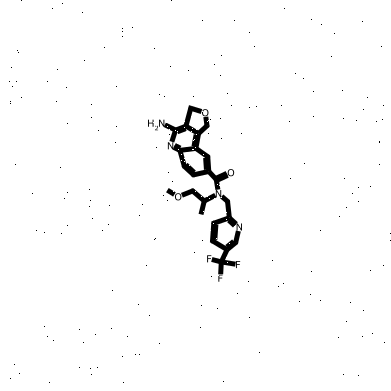 COCC(C)N(Cc1ccc(C(F)(F)F)cn1)C(=O)c1ccc2nc(N)c3c(c2c1)COC3